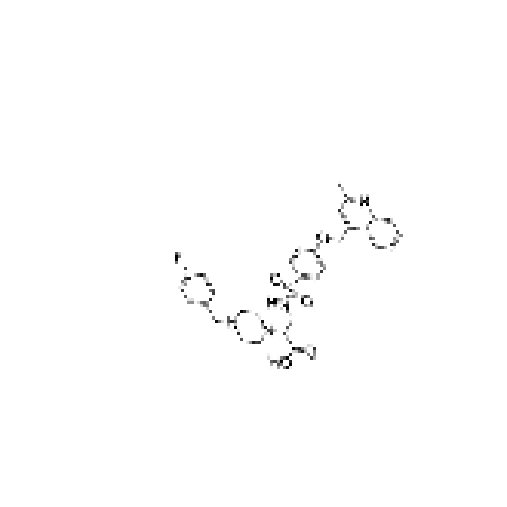 Cc1cc(COc2ccc(S(=O)(=O)NCC(C(=O)O)N3CCN(Cc4ccc(F)cc4)CC3)cc2)c2ccccc2n1